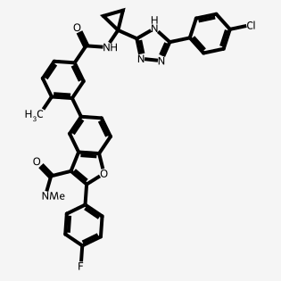 CNC(=O)c1c(-c2ccc(F)cc2)oc2ccc(-c3cc(C(=O)NC4(c5nnc(-c6ccc(Cl)cc6)[nH]5)CC4)ccc3C)cc12